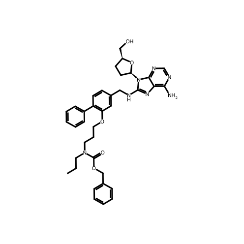 CCCN(CCCOc1cc(CNc2nc3c(N)ncnc3n2[C@H]2CC[C@@H](CO)O2)ccc1-c1ccccc1)C(=O)OCc1ccccc1